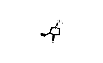 CN1CCC(=O)C(C#N)C1